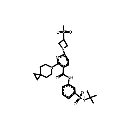 CC(C)(C)NS(=O)(=O)c1cccc(NC(=O)c2ccc(N3CC(S(C)(=O)=O)C3)nc2N2CCC3(CC2)CC3)c1